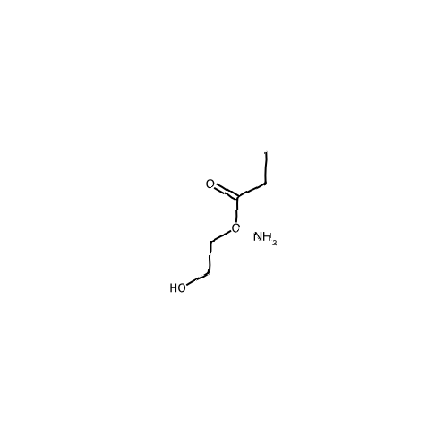 CCC(=O)OCCO.N